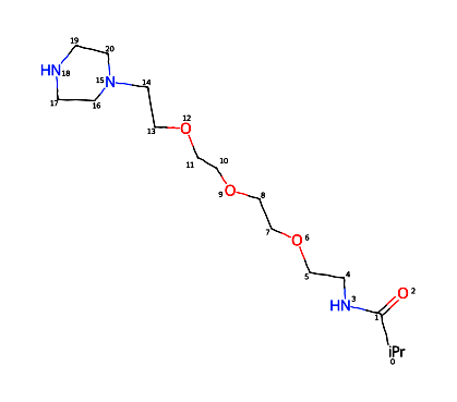 CC(C)C(=O)NCCOCCOCCOCCN1CCNCC1